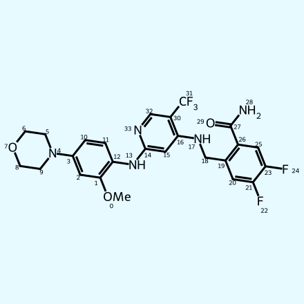 COc1cc(N2CCOCC2)ccc1Nc1cc(NCc2cc(F)c(F)cc2C(N)=O)c(C(F)(F)F)cn1